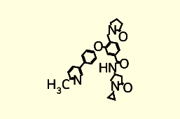 Cc1ccc(-c2ccc(Oc3cc(C(=O)N[C@H]4CC(=O)N(C5CC5)C4)ccc3CN3CCCC3=O)cc2)cn1